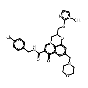 Cn1ccnc1SCC1Cn2cc(C(=O)NCc3ccc(Cl)cc3)c(=O)c3cc(CN4CCOCC4)cc(c32)O1